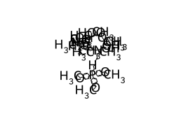 CC[C@H]1OC(=O)[C@H](C)[C@@H](O)[C@H](C)[C@@H](O[C@@H]2O[C@H](C)C[C@H](N(C)C)[C@H]2O)[C@](C)(O)C[C@@H](C)CN(CCCCCCCC[PH](c2ccc(OC)cc2)(c2ccc(OC)cc2)c2ccc(OC)cc2)[C@H](C)[C@@H](O)[C@]1(C)O